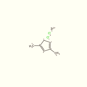 CC1=CCC(C)=C1.[Cl-].[Cl-].[Zr+2]